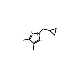 Cc1[c]n(CC2CC2)nc1C